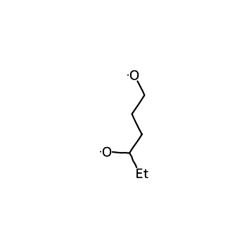 CCC([O])CCC[O]